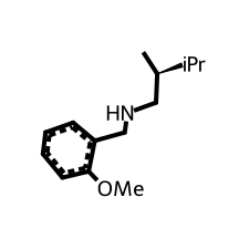 COc1ccccc1CNC[C@@H](C)C(C)C